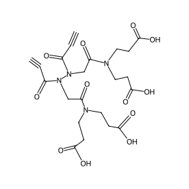 C#CC(=O)N(CC(=O)N(CCC(=O)O)CCC(=O)O)N(CC(=O)N(CCC(=O)O)CCC(=O)O)C(=O)C#C